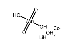 O.[Co].[LiH].[O]=[Mn](=[O])([OH])[OH]